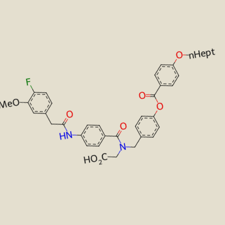 CCCCCCCOc1ccc(C(=O)Oc2ccc(CN(CC(=O)O)C(=O)c3ccc(NC(=O)Cc4ccc(F)c(OC)c4)cc3)cc2)cc1